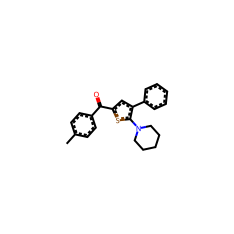 Cc1ccc(C(=O)c2cc(-c3ccccc3)c(N3CCCCC3)s2)cc1